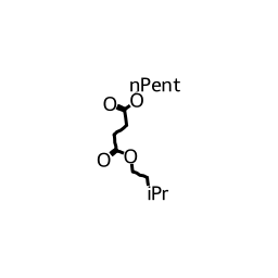 CCCCCOC(=O)CCC(=O)OCCC(C)C